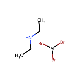 CCNCC.[Br][Al]([Br])[Br]